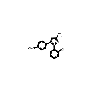 O=Cc1ccc(-c2cc(C(F)(F)F)nn2-c2ccccc2Cl)cc1